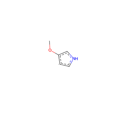 COc1[c]c[nH]c1